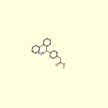 COC(=O)Cc1ccc(C(N)c2ccccc2-c2ccccc2)cc1